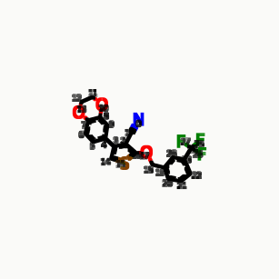 N#Cc1c(-c2ccc3c(c2)OCCO3)csc1OCc1cccc(C(F)(F)F)c1